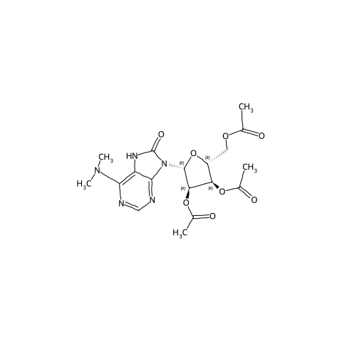 CC(=O)OC[C@H]1O[C@@H](n2c(=O)[nH]c3c(N(C)C)ncnc32)[C@H](OC(C)=O)[C@@H]1OC(C)=O